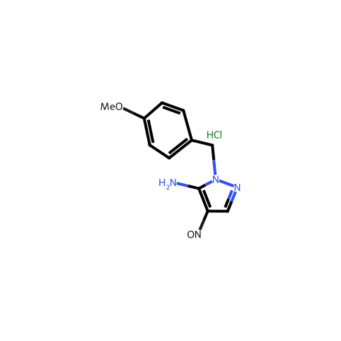 COc1ccc(Cn2ncc(N=O)c2N)cc1.Cl